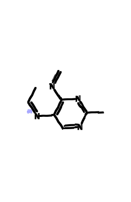 C=Nc1nc(C)ncc1/N=C\C